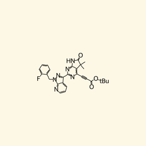 CC(C)(C)OC(=O)C#Cc1nc(-c2nn(Cc3ccccc3F)c3ncccc23)nc2c1C(C)(C)C(=O)N2